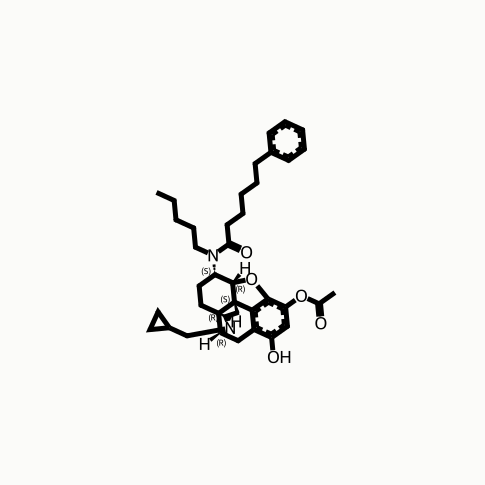 CCCCCN(C(=O)CCCCCc1ccccc1)[C@H]1CC[C@H]2[C@H]3Cc4c(O)cc(OC(C)=O)c5c4[C@@]2(CCN3CC2CC2)[C@H]1O5